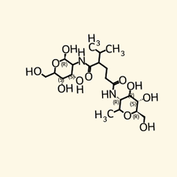 CC(C)C(CCC(=O)N[C@H]1C(C)O[C@H](CO)[C@@H](O)[C@@H]1O)C(=O)NC1[C@H](O)OC(CO)[C@@H](O)[C@H]1O